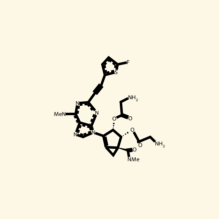 CNC(=O)[C@@]12CC1=C(n1cnc3c(NC)nc(C#Cc4ccc(F)s4)nc31)[C@H](OC(=O)CN)[C@@H]2OC(=O)CN